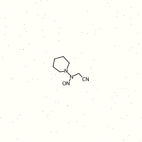 N#CCN(N=O)N1CCCCC1